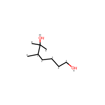 CC(CCCCO)C(C)(C)O